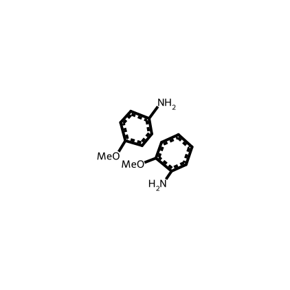 COc1ccc(N)cc1.COc1ccccc1N